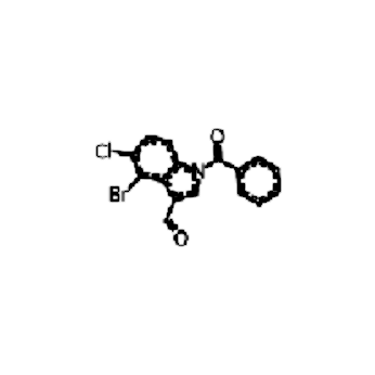 O=Cc1cn(C(=O)c2ccccc2)c2ccc(Cl)c(Br)c12